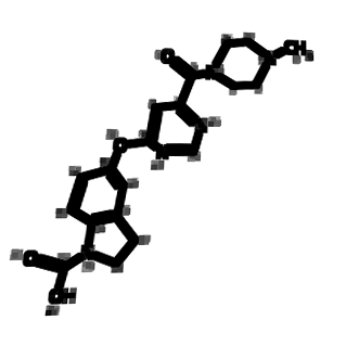 CN1CCN(C(=O)c2cc(Oc3ccc4c(c3)CCN4C(=O)O)ncn2)CC1